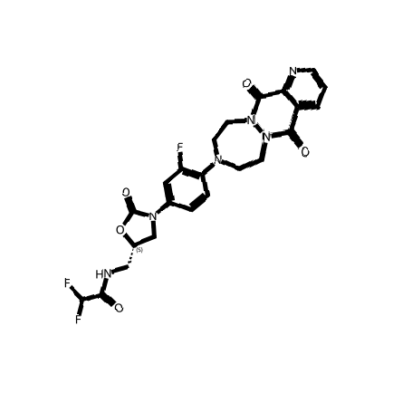 O=C(NC[C@H]1CN(c2ccc(N3CCn4c(=O)c5cccnc5c(=O)n4CC3)c(F)c2)C(=O)O1)C(F)F